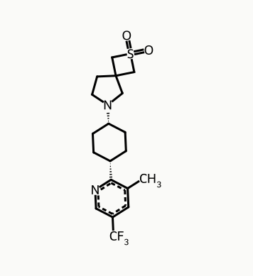 Cc1cc(C(F)(F)F)cnc1[C@H]1CC[C@@H](N2CCC3(C2)CS(=O)(=O)C3)CC1